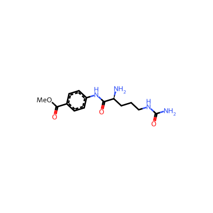 COC(=O)c1ccc(NC(=O)[C@@H](N)CCCNC(N)=O)cc1